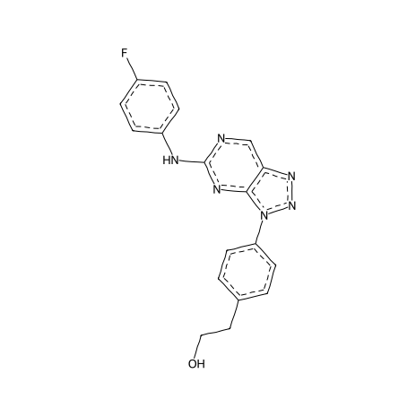 OCCc1ccc(-n2nnc3cnc(Nc4ccc(F)cc4)nc32)cc1